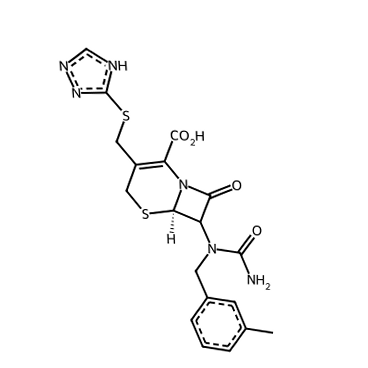 Cc1cccc(CN(C(N)=O)C2C(=O)N3C(C(=O)O)=C(CSc4nnc[nH]4)CS[C@H]23)c1